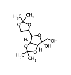 CC1(C)OC[C@H](C2O[C@@](O)(CO)[C@H]3OC(C)(C)O[C@@H]23)O1